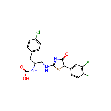 O=C(O)N[C@H](CNC1=NC(=O)C(c2ccc(F)c(F)c2)S1)Cc1ccc(Cl)cc1